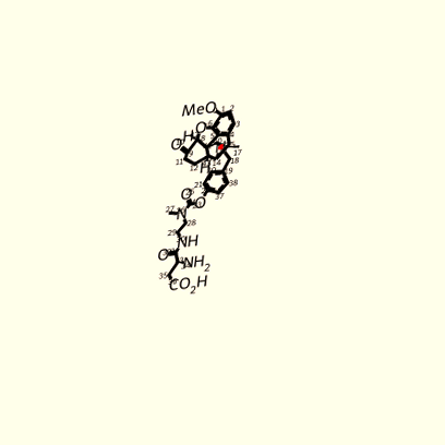 COc1ccc2c3c1O[C@H]1C(=O)CC[C@H]4C(C2)[N@@+](C)(Cc2ccc(OC(=O)N(C)CCNC(=O)[C@@H](N)CC(=O)O)cc2)CC[C@]314